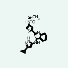 CS(=O)(=O)Nc1csc(-c2nc(Nc3cc(C4CC4)n[nH]3)c3ccccc3n2)c1